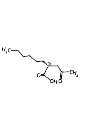 CCCCCC[C@@H](CC(C)=O)C(=O)O